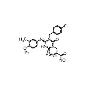 Cc1cc(/N=c2\[nH]c(=O)n(C/C(=N\O)C(=O)N=O)c(=O)n2Cc2ccc(Cl)cc2)ccc1OC(C)C